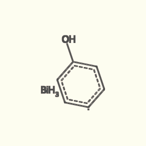 Oc1cc[c]cc1.[BiH3]